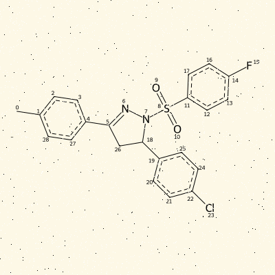 Cc1ccc(C2=NN(S(=O)(=O)c3ccc(F)cc3)C(c3ccc(Cl)cc3)C2)cc1